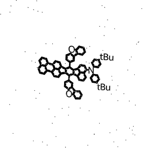 CC(C)(C)c1ccc(N(c2ccc(C(C)(C)C)cc2)c2ccc3c4c(-c5ccc6oc7ccccc7c6c5)c5c6ccc7c8cccc9cccc(c%10ccc(c5c(-c5ccc%11oc%12ccccc%12c%11c5)c4c4cccc2c43)c6c%107)c98)cc1